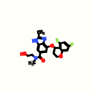 Cc1nc2c(OC3CCOc4cc(F)cc(F)c43)cc(C(=O)N(C)CCO)cc2[nH]1